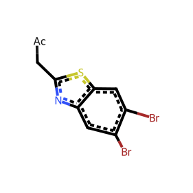 CC(=O)Cc1nc2cc(Br)c(Br)cc2s1